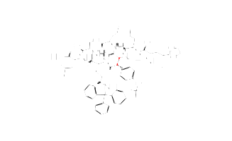 CC[C@H](C)[C@H](NC(=O)[C@H](Cc1ccc(OC(C)(C)C)cc1)N(C)C(=O)[C@@H](NC(=O)[C@@H](N)CCC1OCCO1)[C@@H](C)CC)C(=O)O[C@H](C)[C@H](NC(=O)[C@H](CCC(=O)NC(c1ccccc1)(c1ccccc1)c1ccccc1)NC(=O)C(C)C)C(=O)N[C@@H](CC(C)C)C(=O)O